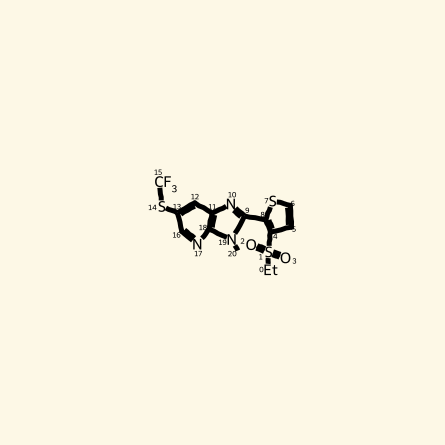 CCS(=O)(=O)c1ccsc1-c1nc2cc(SC(F)(F)F)cnc2n1C